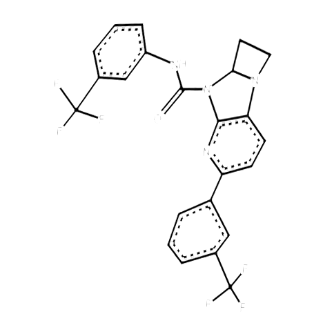 O=C(Nc1cccc(C(F)(F)F)c1)N1c2nc(-c3cccc(C(F)(F)F)c3)ccc2N2CCC21